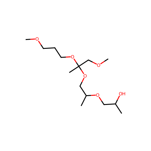 COCCCOC(C)(COC)OCC(C)OCC(C)O